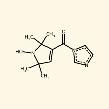 CC1(C)C=C(C(=O)n2ccnc2)C(C)(C)N1O